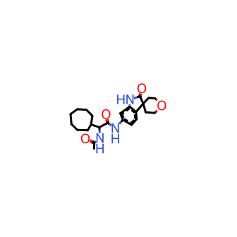 CC(=O)NC(C(=O)Nc1ccc2c(c1)NC(=O)C21CCOCC1)C1CCCCCCC1